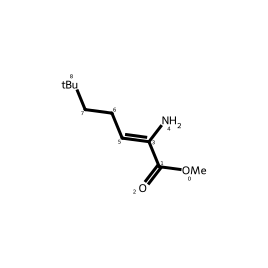 COC(=O)C(N)=CCCC(C)(C)C